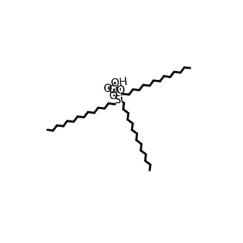 CCCCCCCCCCCCCC[Si](CCCCCCCCCCCCCC)(CCCCCCCCCCCCCC)[O][Cr](=[O])(=[O])[OH]